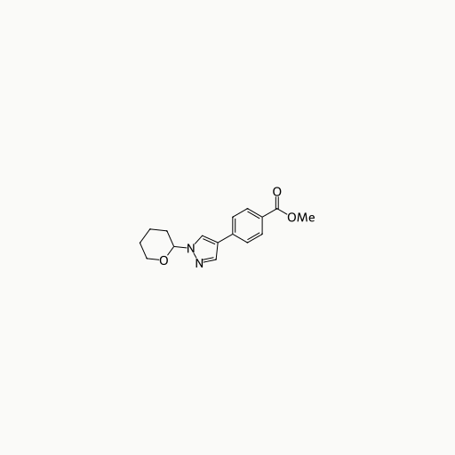 COC(=O)c1ccc(-c2cnn(C3CCCCO3)c2)cc1